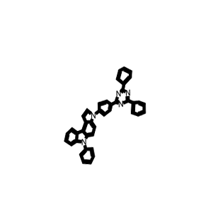 c1ccc(-c2nc(-c3ccccc3)nc(-c3ccc(-n4ccc5c6c7ccccc7n(-c7ccccc7)c6ccc54)cc3)n2)cc1